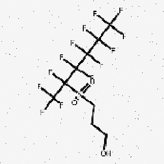 O=S(=O)(CCCO)C(F)(C(F)(F)F)C(F)(F)C(F)(F)C(F)(F)C(F)(F)F